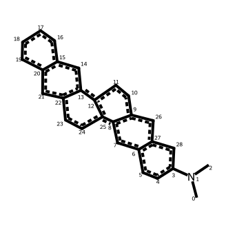 CN(C)c1ccc2cc3c(ccc4c5cc6ccccc6cc5ccc34)cc2c1